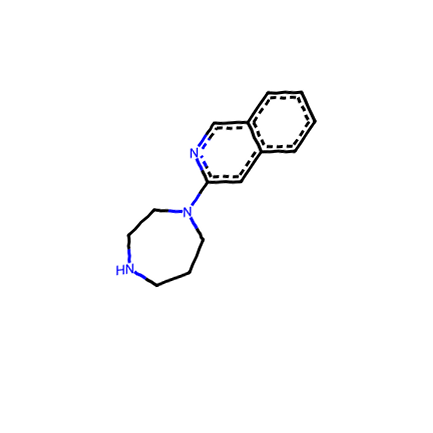 c1ccc2cc(N3CCCNCC3)ncc2c1